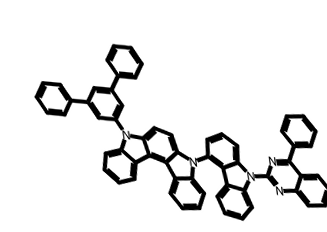 c1ccc(-c2cc(-c3ccccc3)cc(-n3c4ccccc4c4c5c6ccccc6n(-c6cccc7c6c6ccccc6n7-c6nc(-c7ccccc7)c7ccccc7n6)c5ccc43)c2)cc1